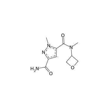 CN(C(=O)c1[c]c(C(N)=O)nn1C)C1COC1